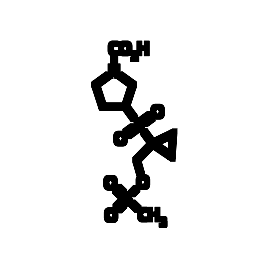 CS(=O)(=O)OCC1(S(=O)(=O)C2CCN(C(=O)O)C2)CC1